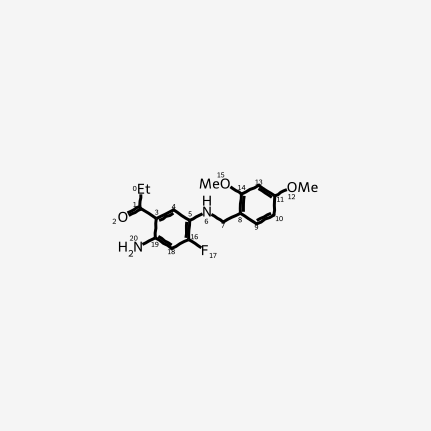 CCC(=O)c1cc(NCc2ccc(OC)cc2OC)c(F)cc1N